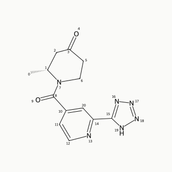 C[C@@H]1CC(=O)CCN1C(=O)c1ccnc(-c2nnn[nH]2)c1